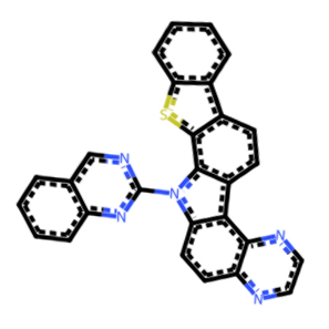 c1ccc2nc(-n3c4ccc5nccnc5c4c4ccc5c6ccccc6sc5c43)ncc2c1